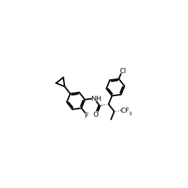 C[C@H]([C@H](C(=O)Nc1cc([C]2CC2)ccc1F)c1ccc(Cl)cc1)C(F)(F)F